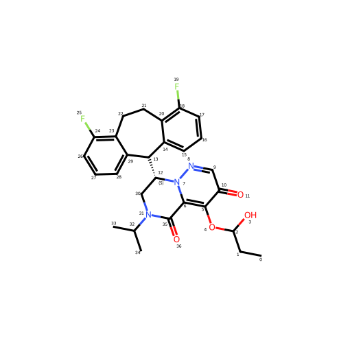 CCC(O)Oc1c2n(ncc1=O)[C@@H](C1c3cccc(F)c3CCc3c(F)cccc31)CN(C(C)C)C2=O